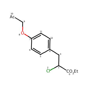 CCOC(=O)C(Cl)Cc1ccc(OCC(C)=O)cc1